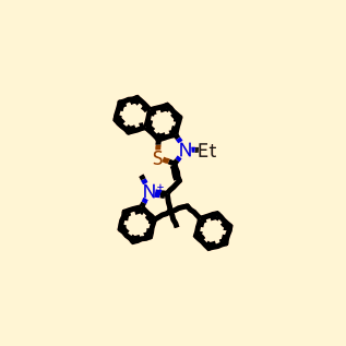 CCN1/C(=C/C2=[N+](C)c3ccccc3C2(C)Cc2ccccc2)Sc2c1ccc1ccccc21